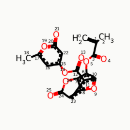 C=C(C)C(=O)Oc1c2c3oc1c(C(=O)Oc1cc(C)oc(=O)c1)c3C(=O)O2